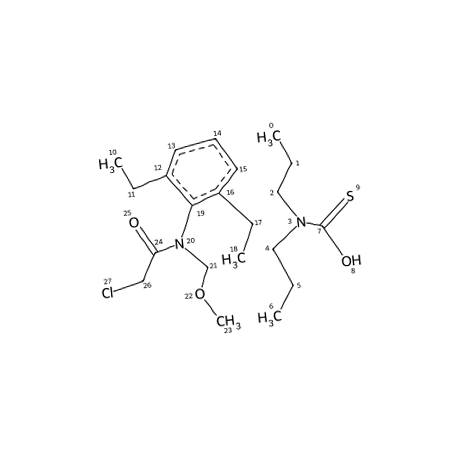 CCCN(CCC)C(O)=S.CCc1cccc(CC)c1N(COC)C(=O)CCl